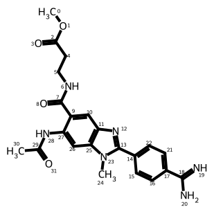 COC(=O)CCNC(=O)c1cc2nc(-c3ccc(C(=N)N)cc3)n(C)c2cc1NC(C)=O